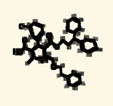 CC1=C(C(=O)O)C(c2cccc(Cl)c2)C(C(=O)OCCC(c2ccccc2)c2ccccc2)=C(COCCc2ccccn2)N1